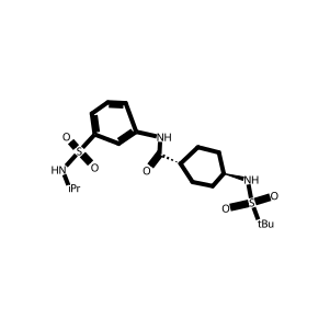 CC(C)NS(=O)(=O)c1cccc(NC(=O)[C@H]2CC[C@H](NS(=O)(=O)C(C)(C)C)CC2)c1